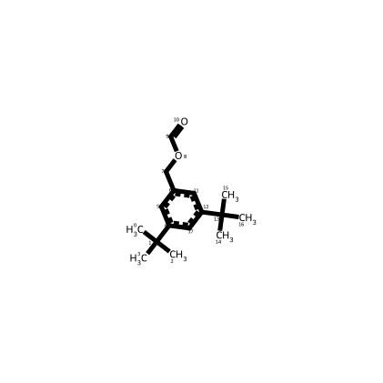 CC(C)(C)c1cc(COC=O)cc(C(C)(C)C)c1